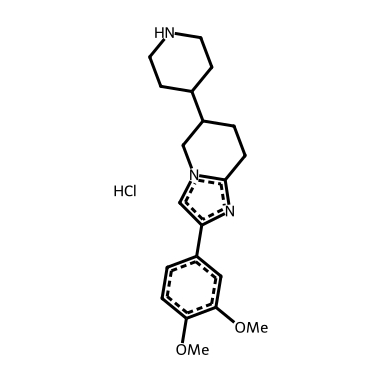 COc1ccc(-c2cn3c(n2)CCC(C2CCNCC2)C3)cc1OC.Cl